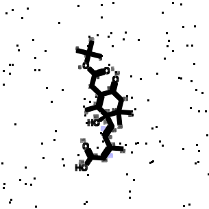 CC1=C(CC(=O)OC(C)(C)C)C(=O)CC(C)(C)[C@]1(O)/C=C/C(C)=C\C(=O)O